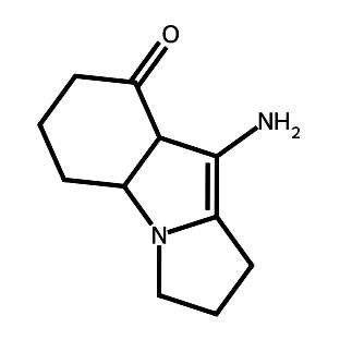 NC1=C2CCCN2C2CCCC(=O)C12